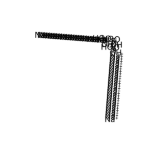 O=[Si](O)O.O=[Si](O)O.O=[Si](O)O.[Na+].[Na+].[Na+].[Na+].[Na+].[Na+].[Na+].[Na+].[Na+].[Na+].[Na+].[Na+].[Na+].[Na+].[Na+].[Na+].[Na+].[Na+].[Na+].[Na+].[Na+].[Na+].[Na+].[Na+].[Na+].[Na+].[Na+].[Na+].[Na+].[Na+].[Na+].[Na+].[Na+].[Na+].[Na+].[Na+].[Na+].[Na+].[Na+].[Na+].[Na+].[Na+].[Na+].[Na+].[Na+].[Na+].[Na+].[Na+].[Na+].[Na+].[Na+].[Na+].[Na+]